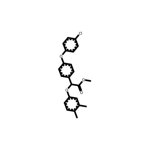 COC(=O)C(Oc1ccc(C)c(C)c1)c1ccc(Oc2ccc(Cl)cc2)cc1